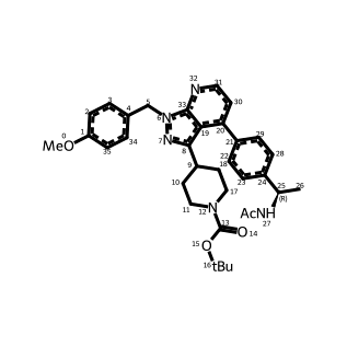 COc1ccc(Cn2nc(C3CCN(C(=O)OC(C)(C)C)CC3)c3c(-c4ccc([C@@H](C)NC(C)=O)cc4)ccnc32)cc1